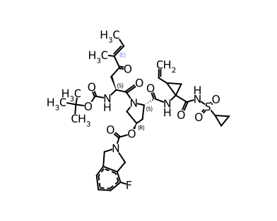 C=CC1CC1(NC(=O)[C@@H]1C[C@@H](OC(=O)N2Cc3cccc(F)c3C2)CN1C(=O)[C@H](CC(=O)/C(C)=C/C)NC(=O)OC(C)(C)C)C(=O)NS(=O)(=O)C1CC1